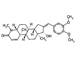 COc1ccc(/C=C2/C[C@H]3[C@@H]4CC[C@H]5N(C)C(=O)C=C[C@]5(C)[C@H]4CC[C@]3(C)[C@H]2O)cc1OC